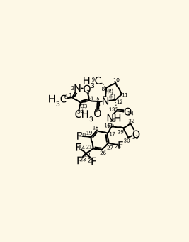 Cc1noc(C(=O)N2[C@H](C)CC[C@@H]2C(=O)N[C@@H](c2cc(F)c(C(F)(F)F)cc2F)C2COC2)c1C